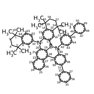 CC1(C)CCC(C)(C)c2cc(N3c4cc5c(cc4B4c6c3cc3ccccc3c6-c3cc(-c6ccccc6)ccc3N4c3ccc(-c4ccccc4)cc3)C(C)(C)CCC5(C)C)ccc21